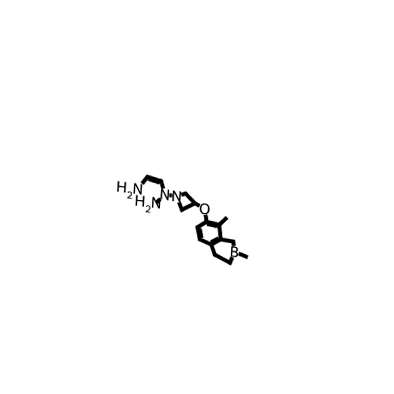 CB1CCc2ccc(OC3CN(N(N)/C=C\N)C3)c(C)c2C1